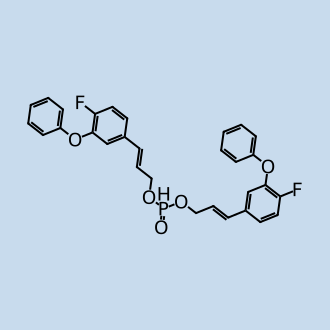 O=[PH](OC/C=C/c1ccc(F)c(Oc2ccccc2)c1)OC/C=C/c1ccc(F)c(Oc2ccccc2)c1